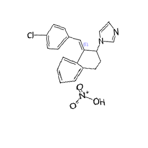 Clc1ccc(/C=C2\c3ccccc3CCC2n2ccnc2)cc1.O=[N+]([O-])O